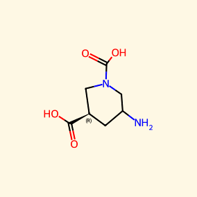 NC1C[C@@H](C(=O)O)CN(C(=O)O)C1